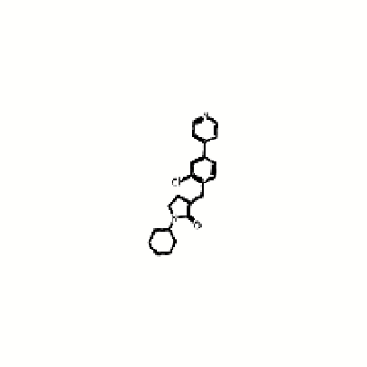 O=C1C(Cc2ccc(-c3ccncc3)cc2Cl)CCN1C1CCCCC1